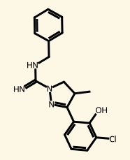 CC1CN(C(=N)NCc2ccccc2)N=C1c1cccc(Cl)c1O